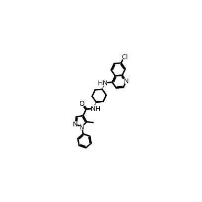 Cc1c(C(=O)N[C@H]2CC[C@@H](Nc3ccnc4cc(Cl)ccc34)CC2)cnn1-c1ccccc1